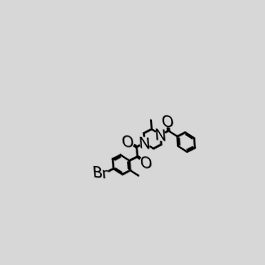 Cc1cc(Br)ccc1C(=O)C(=O)N1CCN(C(=O)c2ccccc2)C(C)C1